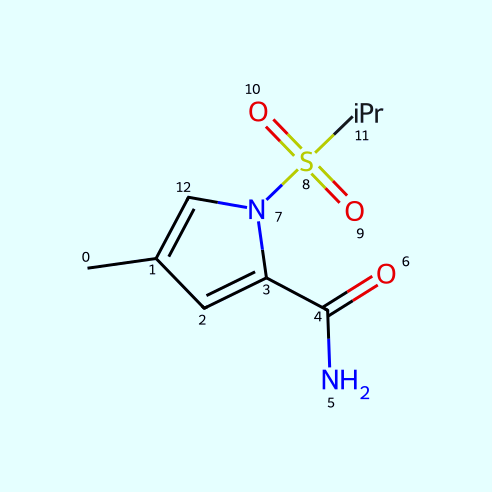 Cc1cc(C(N)=O)n(S(=O)(=O)C(C)C)c1